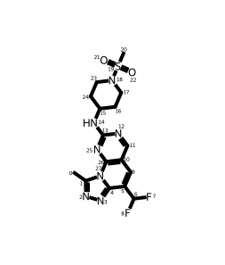 Cc1nnc2c(C(F)F)cc3cnc(NC4CCN(S(C)(=O)=O)CC4)nc3n12